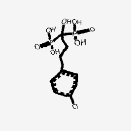 O=P(O)(O)C(O)(CCc1ccc(Cl)cc1)P(=O)(O)O